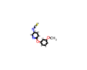 COc1cccc(Oc2ccc(N=C=S)cn2)c1